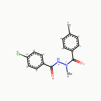 CCc1ccc(C(=O)N(NC(=O)c2ccc(Cl)cc2)C(C)(C)C)cc1